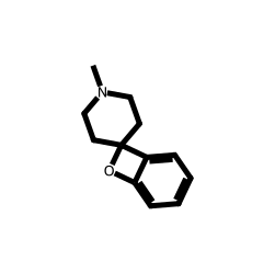 CN1CCC2(CC1)Oc1ccccc12